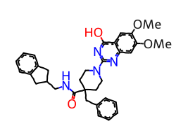 COc1cc2nc(N3CCC(Cc4ccccc4)(C(=O)NCC4Cc5ccccc5C4)CC3)nc(O)c2cc1OC